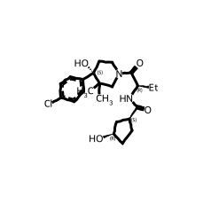 CC[C@@H](NC(=O)[C@H]1CC[C@@H](O)C1)C(=O)N1CC[C@](O)(c2ccc(Cl)cc2)C(C)(C)C1